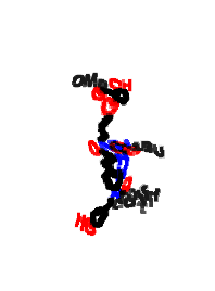 COC(=O)c1c(O)cccc1OCCCCNC(=O)C(Cc1ccc(N(CC(C(=O)O)c2ccc(O)cc2)C(=O)C(=O)O)cc1)NC(=O)OC(C)(C)C